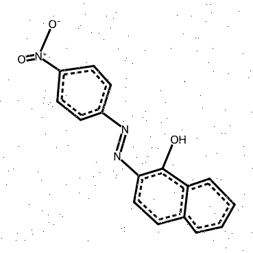 O=[N+]([O-])c1ccc(N=Nc2ccc3ccccc3c2O)cc1